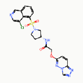 O=C(COc1ccc2nncn2n1)N[C@@H]1CCN(S(=O)(=O)c2cccc3cncc(Cl)c23)C1